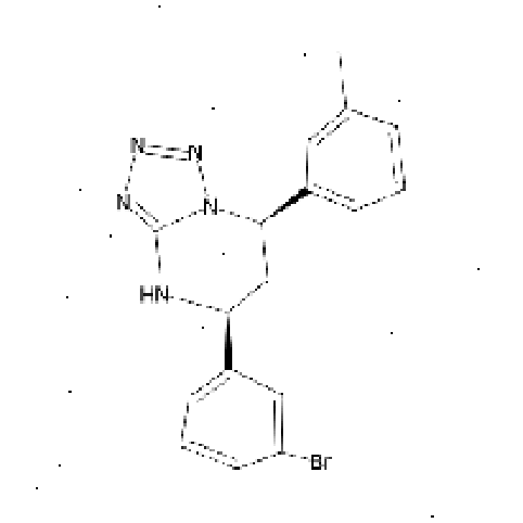 Cc1cccc([C@H]2C[C@@H](c3cccc(Br)c3)Nc3nnnn32)c1